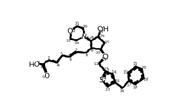 O=C(O)CCCC=CCC1C(OCc2cc(Cc3ccccc3)cs2)CC(O)C1N1CCOCC1